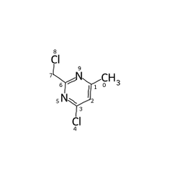 Cc1cc(Cl)nc(CCl)n1